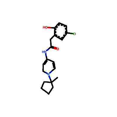 CC1(N2C=CC(NC(=O)Cc3cc(Cl)ccc3O)=CC2)CCCC1